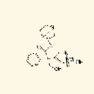 Cl.Cl.O=C(OC1CN2CCC1CC2)C(CO)(c1ccccc1)c1cn[nH]c1